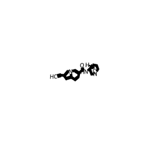 C#Cc1cc2ccc(C(=O)N[C@H]3CN4CCC3CC4)cn2c1